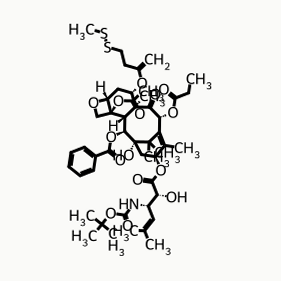 C=C(CCSSC)O[C@H]1C[C@H]2OC[C@@]2(OC(C)=O)[C@H]2[C@H](OC(=O)c3ccccc3)[C@]3(O)C[C@H](OC(=O)[C@H](O)[C@H](C=C(C)C)NC(=O)OC(C)(C)C)C(C)=C([C@@H](OC(=O)CC)C(=O)[C@]12C)C3(C)C